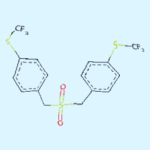 O=S(=O)(Cc1ccc(SC(F)(F)F)cc1)Cc1ccc(SC(F)(F)F)cc1